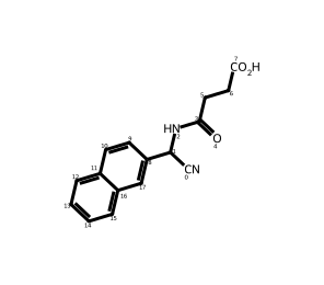 N#CC(NC(=O)CCC(=O)O)c1ccc2ccccc2c1